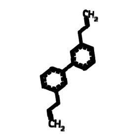 C=CCc1cccc(-c2cccc(CC=C)c2)c1